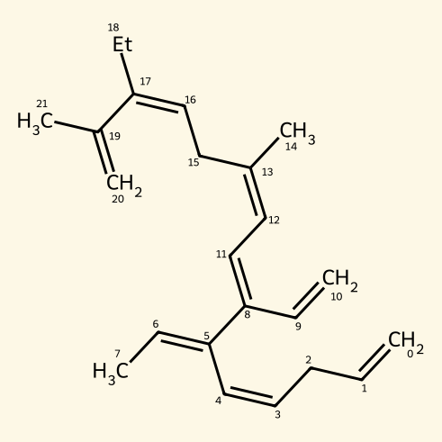 C=CC\C=C/C(=C\C)C(/C=C)=C/C=C(/C)C/C=C(/CC)C(=C)C